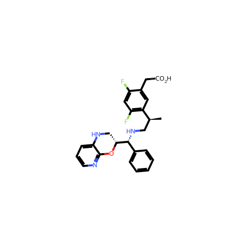 C[C@@H](CN[C@H](c1ccccc1)[C@H]1CNc2cccnc2O1)c1cc(CC(=O)O)c(F)cc1F